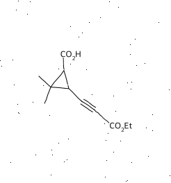 CCOC(=O)C#CC1C(C(=O)O)C1(C)C